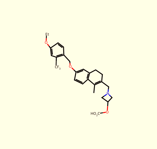 CCOc1ccc(COc2ccc3c(c2)CCC(CN2CC(OC(=O)O)C2)=C3C)c(C(F)(F)F)c1